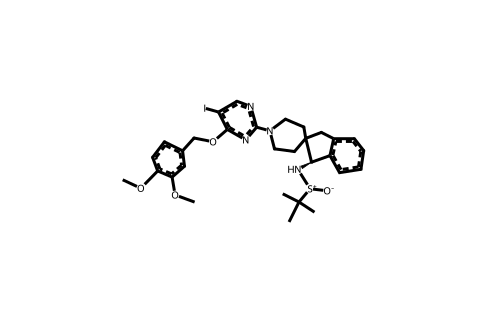 COc1ccc(COc2nc(N3CCC4(CC3)Cc3ccccc3[C@H]4N[S+]([O-])C(C)(C)C)ncc2I)cc1OC